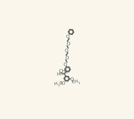 CNC(c1cc(OC)cc(OC)c1)c1cccc(OCCOCCOCCOCCOc2ccccc2)c1